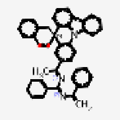 C=C(/N=C(\N=C(/C)c1ccc2c(c1)[C@@]1(Cc3ccccc3-c3ccccc31)c1cccc3c4ccccc4n-2c13)C1=CCCC=C1)c1ccccc1